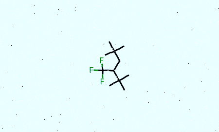 CC(C)(C)CC(C(C)(C)C)C(F)(F)F